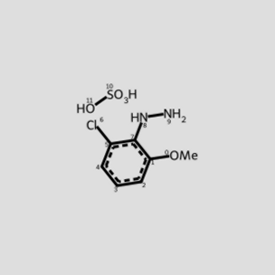 COc1cccc(Cl)c1NN.O=S(=O)(O)O